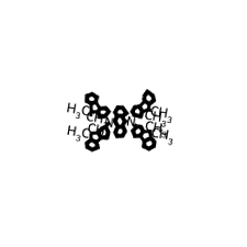 CC1(C)c2ccccc2-c2ccc(N(c3ccc4c(c3)C(C)(C)c3ccccc3-4)c3c4ccccc4c(N(c4ccc5c(c4)C(C)(C)c4ccccc4-5)c4ccc5c(c4)C(C)(C)c4ccccc4-5)c4ccccc34)cc21